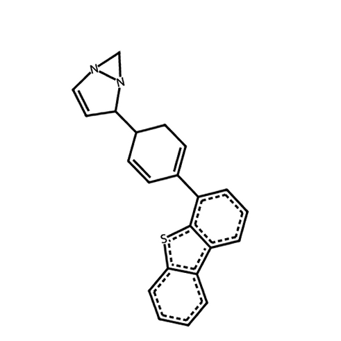 C1=CC(C2C=CN3CN23)CC=C1c1cccc2c1sc1ccccc12